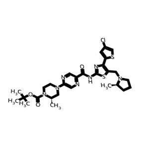 C[C@@H]1CCCN1Cc1sc(NC(=O)c2cnc(N3CCN(C(=O)OC(C)(C)C)[C@@H](C)C3)cn2)nc1-c1cc(Cl)cs1